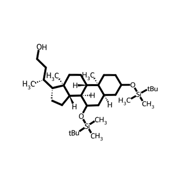 C[C@H](CCO)[C@H]1CC[C@H]2[C@@H]3C(O[Si](C)(C)C(C)(C)C)C[C@@H]4CC(O[Si](C)(C)C(C)(C)C)CC[C@]4(C)[C@H]3CC[C@]12C